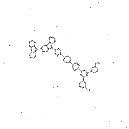 Cc1cccc(-c2cc(-c3ccc(-c4ccc(-c5ccc(-n6c7ccccc7c7cc(-n8c9ccccc9c9ccccc98)ccc76)cc5)cc4)cc3)nc(-c3cccc(C)c3)n2)c1